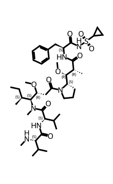 CC[C@H](C)[C@@H]([C@@H](CC(=O)N1CCC[C@H]1[C@H](OC)[C@@H](C)C(=O)N[C@@H](Cc1ccccc1)C(=O)NS(=O)(=O)C1CC1)OC)N(C)C(=O)[C@@H](NC(=O)[C@@H](NC)C(C)C)C(C)C